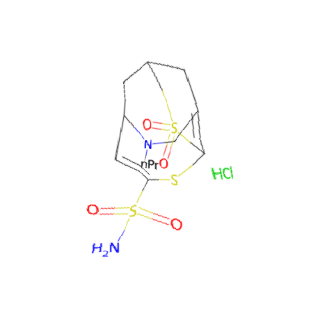 CCCN1CC2=C3SC(S(N)(=O)=O)=CC1CC(C2)S3(=O)=O.Cl